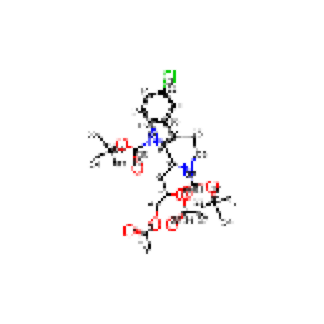 CC(=O)OCC(CC1c2c(c3cc(Cl)ccc3n2C(=O)OC(C)(C)C)CCN1C(=O)OC(C)(C)C)OC(C)=O